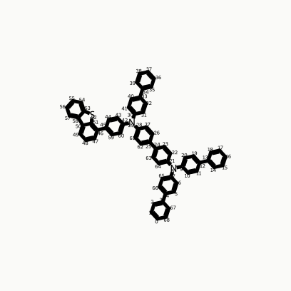 c1ccc(-c2ccc(N(c3ccc(-c4ccccc4)cc3)c3ccc(-c4ccc(N(c5ccc(-c6ccccc6)cc5)c5ccc(-c6cccc7c6sc6ccccc67)cc5)cc4)cc3)cc2)cc1